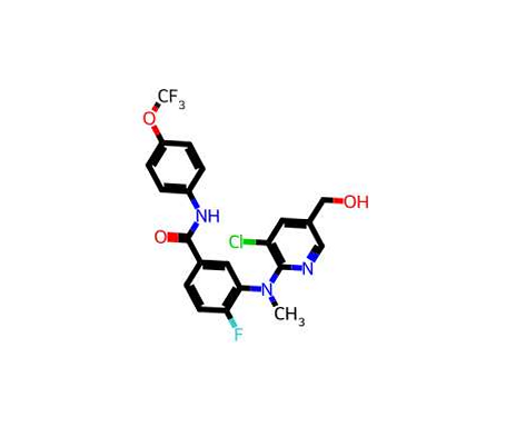 CN(c1cc(C(=O)Nc2ccc(OC(F)(F)F)cc2)ccc1F)c1ncc(CO)cc1Cl